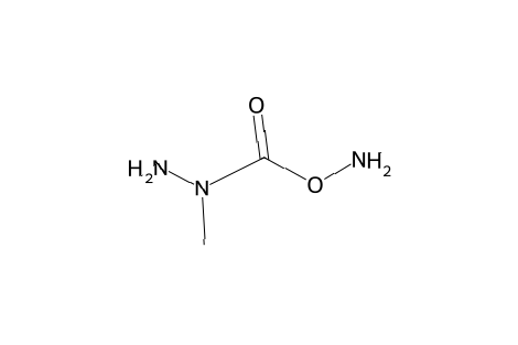 CN(N)C(=O)ON